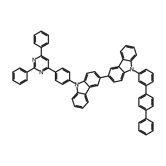 c1ccc(-c2ccc(-c3cccc(-n4c5ccccc5c5cc(-c6ccc7c(c6)c6ccccc6n7-c6ccc(-c7cc(-c8ccccc8)nc(-c8ccccc8)n7)cc6)ccc54)c3)cc2)cc1